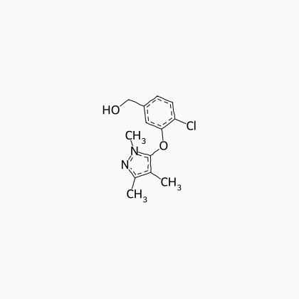 Cc1nn(C)c(Oc2cc(CO)ccc2Cl)c1C